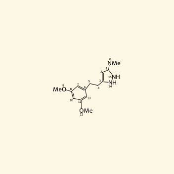 CNC1C=C(CCc2cc(OC)cc(OC)c2)NN1